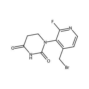 O=C1CCN(c2c(CBr)ccnc2F)C(=O)N1